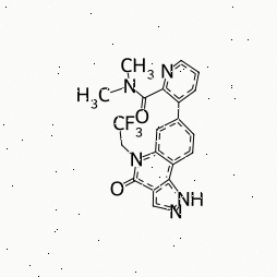 CN(C)C(=O)c1ncccc1-c1ccc2c3[nH]ncc3c(=O)n(CC(F)(F)F)c2c1